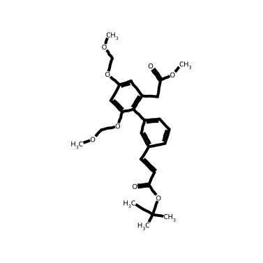 COCOc1cc(CC(=O)OC)c(-c2cccc(C=CC(=O)OC(C)(C)C)c2)c(OCOC)c1